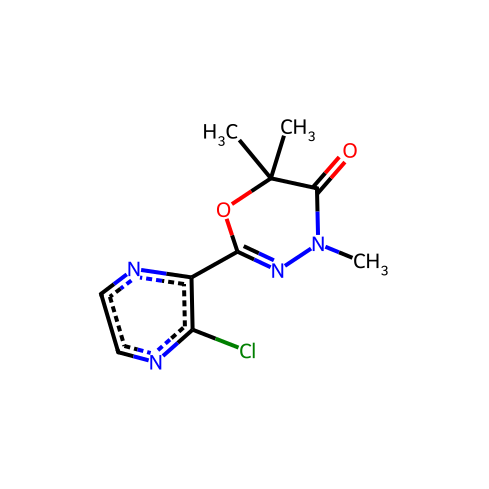 CN1N=C(c2nccnc2Cl)OC(C)(C)C1=O